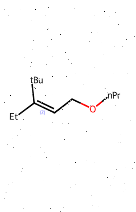 CCCOC/C=C(/CC)C(C)(C)C